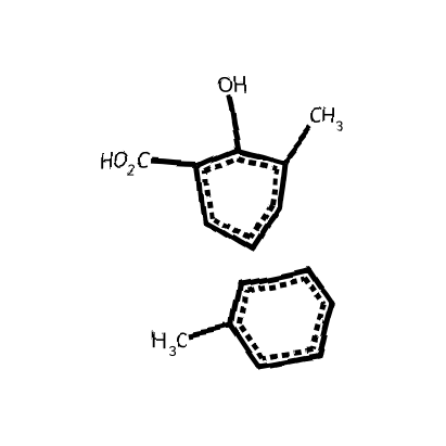 Cc1cccc(C(=O)O)c1O.Cc1ccccc1